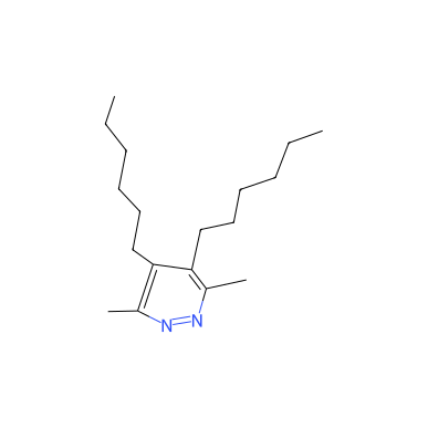 CCCCCCc1c(C)nnc(C)c1CCCCCC